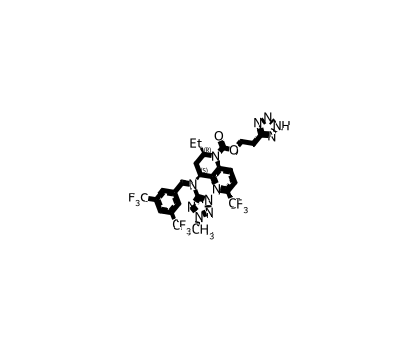 CC[C@@H]1C[C@H](N(Cc2cc(C(F)(F)F)cc(C(F)(F)F)c2)c2nnn(C)n2)c2nc(C(F)(F)F)ccc2N1C(=O)OCCc1nn[nH]n1